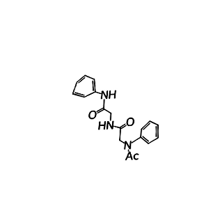 CC(=O)N(CC(=O)NCC(=O)Nc1ccccc1)c1ccccc1